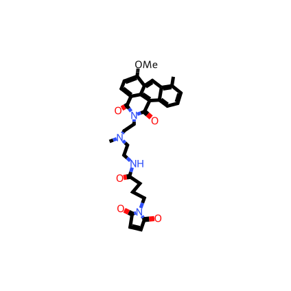 COc1ccc2c3c(c4cccc(C)c4cc13)C(=O)N(CCN(C)CCNC(=O)CCCN1C(=O)C=CC1=O)C2=O